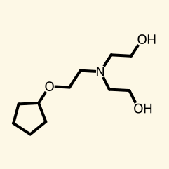 OCCN(CCO)CCOC1CCCC1